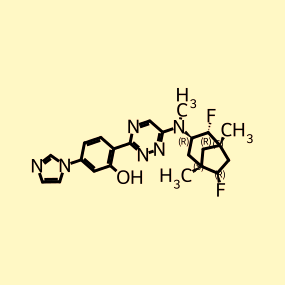 CN(c1cnc(-c2ccc(-n3ccnc3)cc2O)nn1)[C@@H]1C[C@]2(C)C[C@@](C)(C[C@H]2F)[C@H]1F